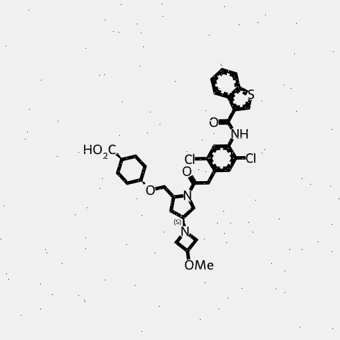 COC1CN([C@H]2CC(CO[C@H]3CC[C@H](C(=O)O)CC3)N(C(=O)Cc3cc(Cl)c(NC(=O)c4csc5ccccc45)cc3Cl)C2)C1